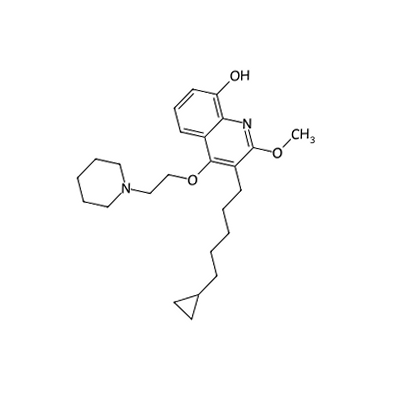 COc1nc2c(O)cccc2c(OCCN2CCCCC2)c1CCCCCC1CC1